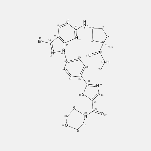 CNC(=O)[C@]1(C)CC[C@@H](Nc2ncc3c(Br)nn(-c4ccc(-c5nnc(C(=O)N6CCOCC6)s5)cc4)c3n2)C1